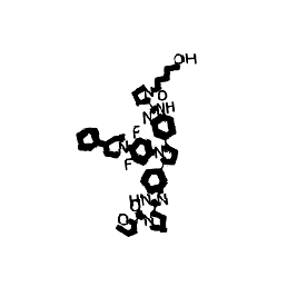 O=C(CCCCO)N1CCC[C@H]1c1nc2cc([C@H]3CC[C@H](c4ccc5[nH]c([C@@H]6CCCN6C(=O)[C@@H]6CCCO6)nc5c4)N3c3cc(F)c(N4CCC(c5ccccc5)CC4)c(F)c3)ccc2[nH]1